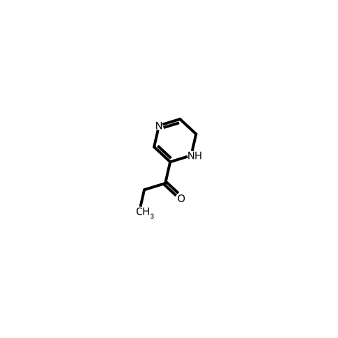 CCC(=O)C1=CN=CCN1